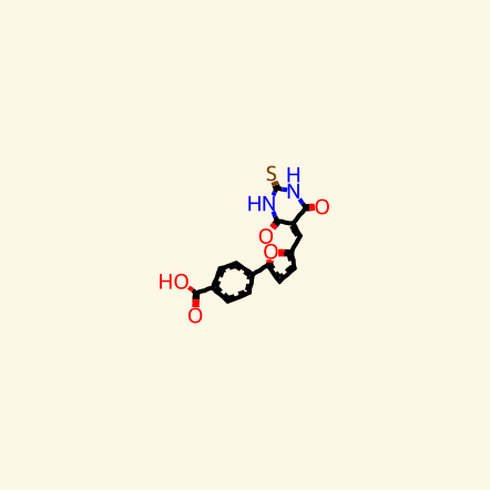 O=C1NC(=S)NC(=O)C1=Cc1ccc(-c2ccc(C(=O)O)cc2)o1